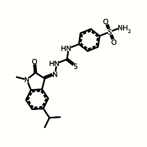 CC(C)c1ccc2c(c1)C(=NNC(=S)Nc1ccc(S(N)(=O)=O)cc1)C(=O)N2C